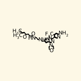 CC(C)=CC(=O)CCC(=O)NCCNCc1cc2c(N3CCOCC3)nc(-c3cnc(N)cc3C(F)(F)F)nn2c1